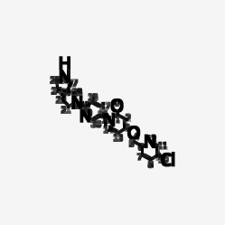 O=c1cc(OCc2ccc(Cl)cn2)ccn1-c1ccc(N2CCC3(CCNC3)C2)nc1